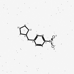 O=[N+]([O-])c1ccc(C[C]2CCCC2)cc1